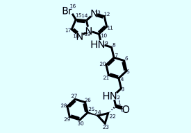 O=C(NCc1ccc(CNc2ccnc3c(Br)cnn23)cc1)[C@@H]1C[C@H]1c1ccccc1